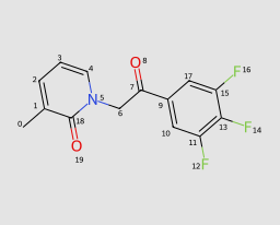 Cc1cccn(CC(=O)c2cc(F)c(F)c(F)c2)c1=O